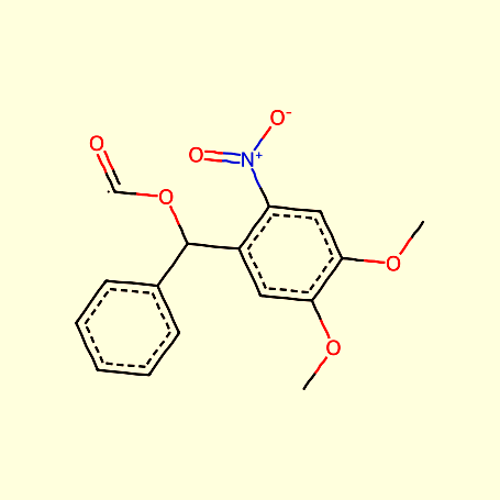 COc1cc(C(O[C]=O)c2ccccc2)c([N+](=O)[O-])cc1OC